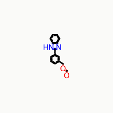 O=COCc1cccc(-c2nc3ccccc3[nH]2)c1